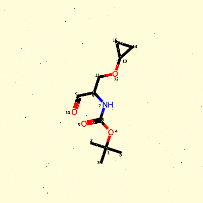 CC(C)(C)OC(=O)NC(C=O)COC1CC1